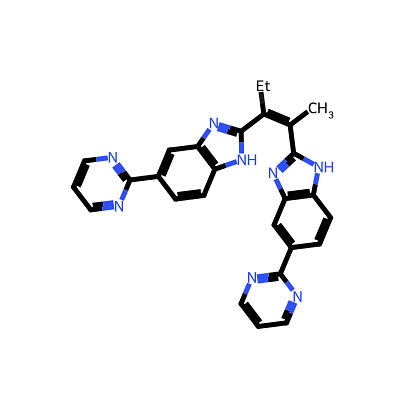 CCC(=C(C)c1nc2cc(-c3ncccn3)ccc2[nH]1)c1nc2cc(-c3ncccn3)ccc2[nH]1